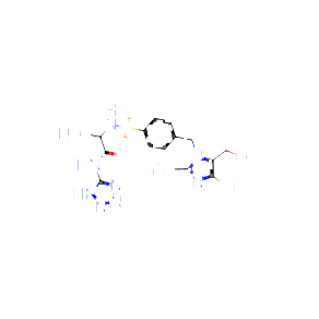 CCCCc1nc(Cl)c(CO)n1Cc1ccc(S(=O)(=O)NC(C)C(=O)Nc2nnn[nH]2)cc1